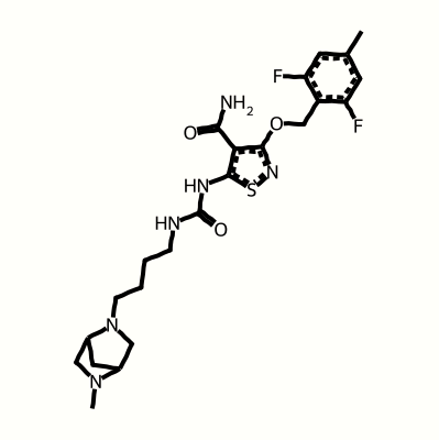 Cc1cc(F)c(COc2nsc(NC(=O)NCCCCN3CC4CC3CN4C)c2C(N)=O)c(F)c1